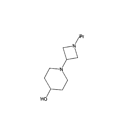 CC(C)N1CC(N2CCC(O)CC2)C1